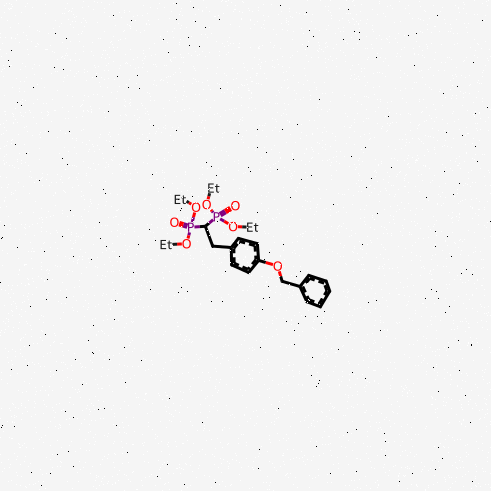 CCOP(=O)(OCC)C(Cc1ccc(OCc2ccccc2)cc1)P(=O)(OCC)OCC